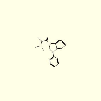 CC(C(=O)N1CC(c2ccccc2)c2ccccc21)N(C)C